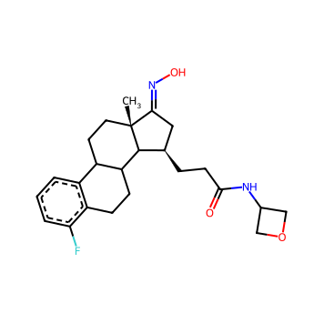 C[C@]12CCC3c4cccc(F)c4CCC3C1[C@H](CCC(=O)NC1COC1)C/C2=N\O